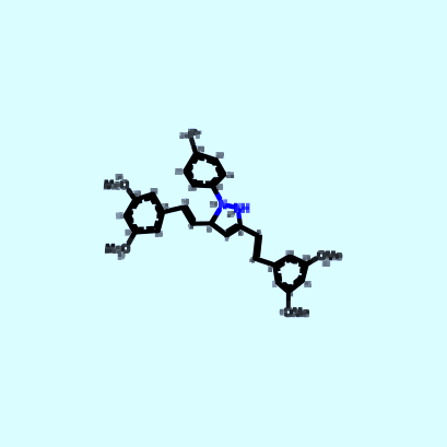 COc1cc(C=CC2=CC(C=Cc3cc(OC)cc(OC)c3)N(c3ccc(C(C)C)cc3)N2)cc(OC)c1